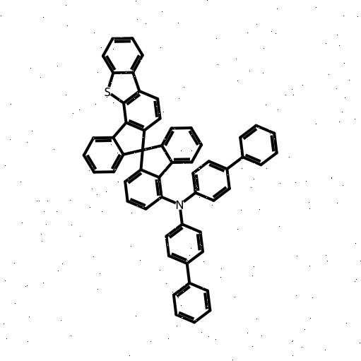 c1ccc(-c2ccc(N(c3ccc(-c4ccccc4)cc3)c3cccc4c3-c3ccccc3C43c4ccccc4-c4c3ccc3c4sc4ccccc43)cc2)cc1